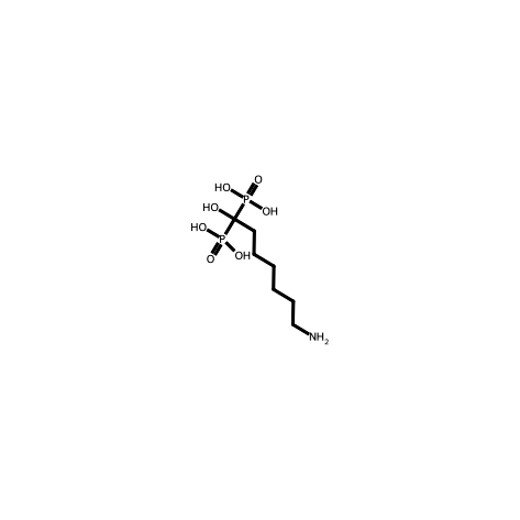 NCCCCCCC(O)(P(=O)(O)O)P(=O)(O)O